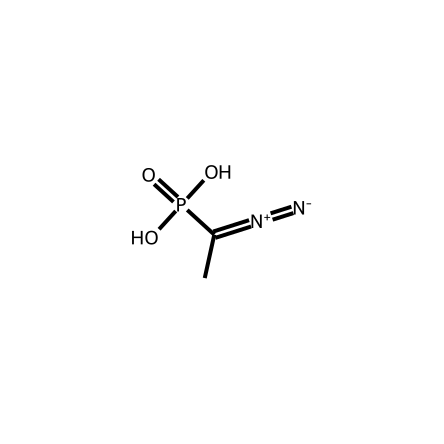 CC(=[N+]=[N-])P(=O)(O)O